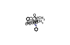 CCN(CC)C(=O)C(Cc1cccc([N+](=O)[O-])c1)C(=O)NS(=O)(=O)/C=C/c1ccccc1